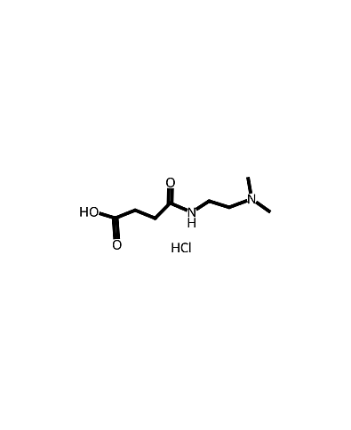 CN(C)CCNC(=O)CCC(=O)O.Cl